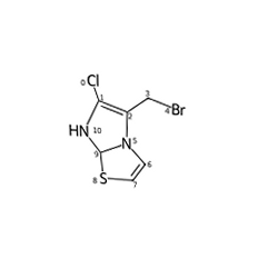 ClC1=C(CBr)N2C=CSC2N1